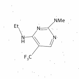 CCNc1nc(NC)ncc1C(F)(F)F